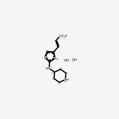 Cl.Cl.O=C(O)/C=C/c1csc(NC2CCNCC2)n1